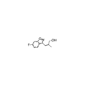 CC(CO)Cc1noc2cc(F)ccc12